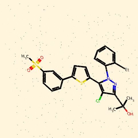 CCc1ccccc1-n1nc(C(C)(C)O)c(Cl)c1-c1ccc(-c2cccc(S(C)(=O)=O)c2)s1